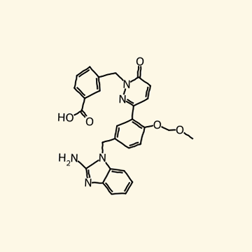 COCOc1ccc(Cn2c(N)nc3ccccc32)cc1-c1ccc(=O)n(Cc2cccc(C(=O)O)c2)n1